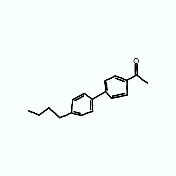 CCCCc1ccc(-c2ccc(C(C)=O)cc2)cc1